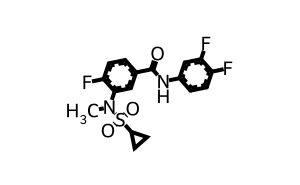 CN(c1cc(C(=O)Nc2ccc(F)c(F)c2)ccc1F)S(=O)(=O)C1CC1